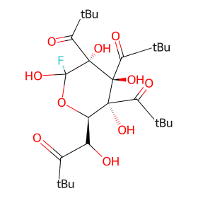 CC(C)(C)C(=O)C(O)[C@H]1OC(O)(F)[C@@](O)(C(=O)C(C)(C)C)[C@](O)(C(=O)C(C)(C)C)[C@@]1(O)C(=O)C(C)(C)C